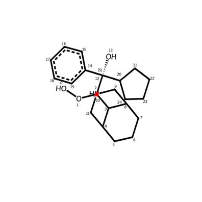 OOC(C1C2CCCC1CNC2)[C@@](O)(c1ccccc1)C1CCCC1